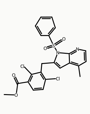 COC(=O)c1ccc(Cl)c(Cc2cc3c(C)ccnc3n2S(=O)(=O)c2ccccc2)c1Cl